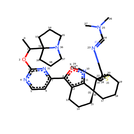 CC(Oc1nccc(-c2onc3c2CCC[C@@]32CCCc3sc(/N=C/N(C)C)c(C#N)c32)n1)C12CCCN1CCC2